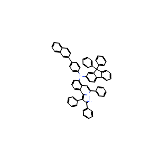 c1ccc(-c2nn3c(-c4ccccc4)cc4c(N(c5ccc(-c6ccc7ccccc7c6)cc5)c5ccc6c(c5)C(c5ccccc5)(c5ccccc5)c5ccccc5-6)cccc4c3c2-c2ccccc2)cc1